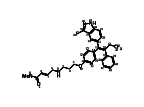 CNC(=O)/C=C/CNCCCOc1ccc(/C(=C(/CC(F)(F)F)c2ccccc2)c2ccc3[nH]nc(F)c3c2)cn1